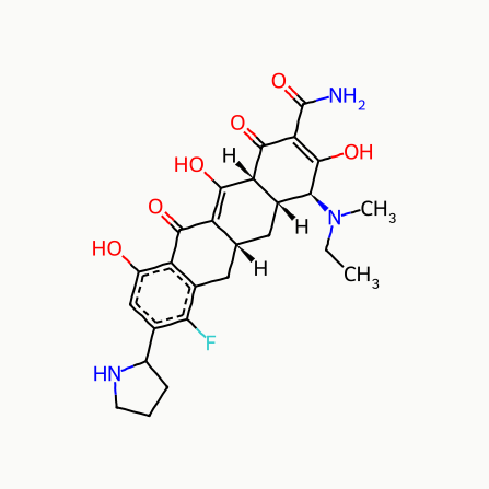 CCN(C)[C@@H]1C(O)=C(C(N)=O)C(=O)[C@H]2C(O)=C3C(=O)c4c(O)cc(C5CCCN5)c(F)c4C[C@H]3C[C@H]21